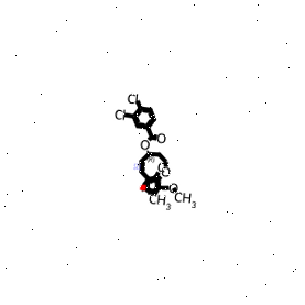 COc1ccc2c3c1OC(CCCN2C)C[C@@H](OC(=O)c1ccc(Cl)c(Cl)c1)/C=C\3